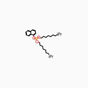 CC(C)CCCCCCCOP(OCCCCCCCC(C)C)Oc1cccc2ccccc12